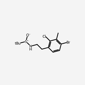 Cc1c(Br)ccc(CCN[S+]([O-])C(C)(C)C)c1Cl